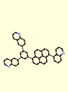 c1cnc2ccc(-c3cc(-c4ccc5ncccc5c4)cc(-c4ccc5ccc6c(-c7cccc8ncccc78)ccc7ccc4c5c76)c3)cc2c1